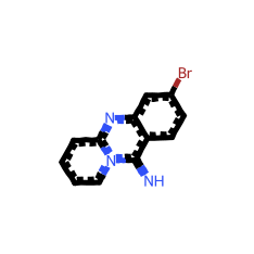 N=c1c2ccc(Br)cc2nc2ccccn12